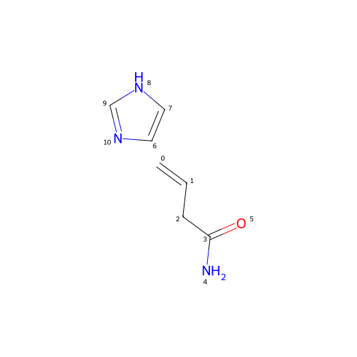 C=CCC(N)=O.c1c[nH]cn1